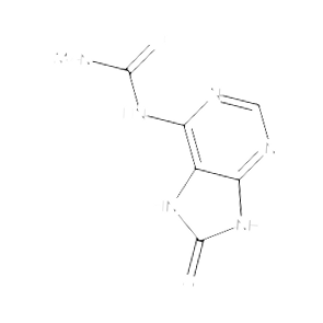 CNC(=O)Nc1ncnc2[nH]c(=O)[nH]c12